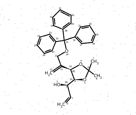 C=C[C@@H](O)[C@@H]1OC(C)(C)O[C@@H]1C(=C)COC(c1ccccc1)(c1ccccc1)c1ccccc1